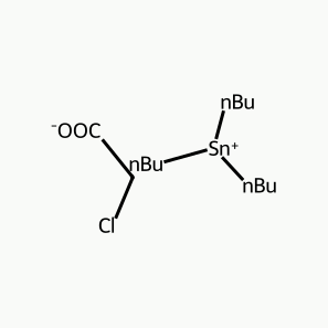 CCC[CH2][Sn+]([CH2]CCC)[CH2]CCC.O=C([O-])CCl